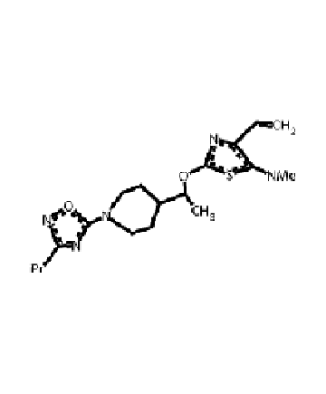 C=Cc1nc(OC(C)C2CCN(c3nc(C(C)C)no3)CC2)sc1NC